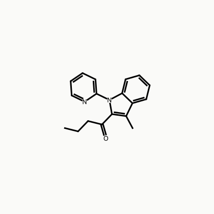 CCCC(=O)c1c(C)c2ccccc2n1-c1ccccn1